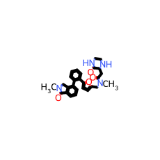 CN(Cc1ccc(-c2ccccc2-c2cccc3c2CN(C)C3=O)o1)C(=O)CC1NCCNC1=O